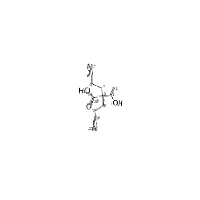 C=C(O)C(CCC#N)(CCC#N)C(=O)O